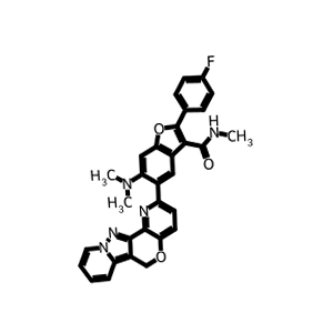 CNC(=O)c1c(-c2ccc(F)cc2)oc2cc(N(C)C)c(-c3ccc4c(n3)-c3nn5ccccc5c3CO4)cc12